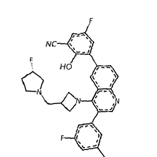 Cc1cc(F)cc(-c2cnc3ccc(-c4cc(F)cc(C#N)c4O)cc3c2N2CC(CN3CC[C@H](F)C3)C2)c1